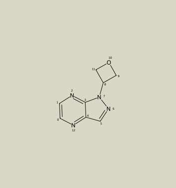 c1cnc2c(cnn2C2COC2)n1